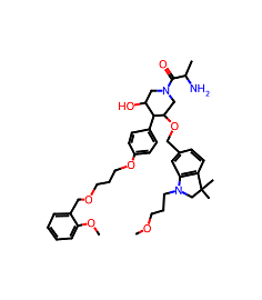 COCCCN1CC(C)(C)c2ccc(COC3CN(C(=O)C(C)N)CC(O)C3c3ccc(OCCCOCc4ccccc4OC)cc3)cc21